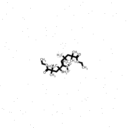 BC(C)(CC(C)(C)C(=O)OCC)/C(=C/C(C)(C)CC(C)(C)C(=O)OCC)[N+](=O)[O-]